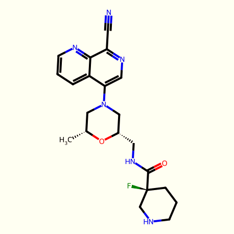 C[C@@H]1CN(c2cnc(C#N)c3ncccc23)C[C@H](CNC(=O)[C@]2(F)CCCNC2)O1